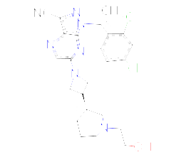 C[C@H](c1ccc(Cl)cc1Cl)n1nc(C#N)c2ncc(N3CC([C@@H]4CCCN(CCO)C4)C3)nc21